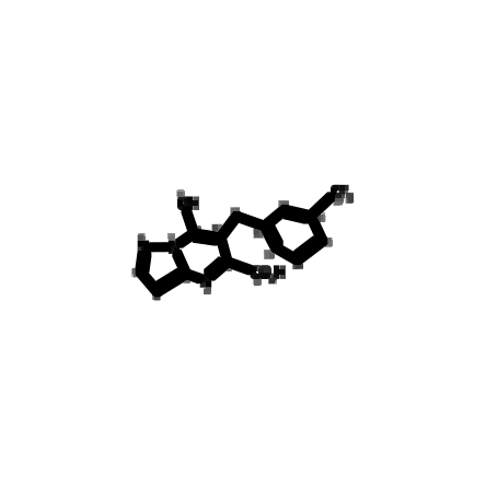 O=C(O)c1nc2ccnn2c(O)c1Cc1cccc(C(F)(F)F)c1